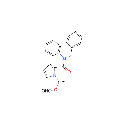 CC(OC=O)n1cccc1C(=O)N(Cc1ccccc1)c1ccccc1